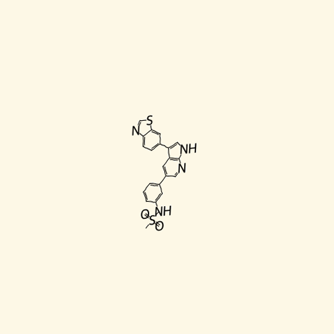 CS(=O)(=O)Nc1cccc(-c2cnc3[nH]cc(-c4ccc5ncsc5c4)c3c2)c1